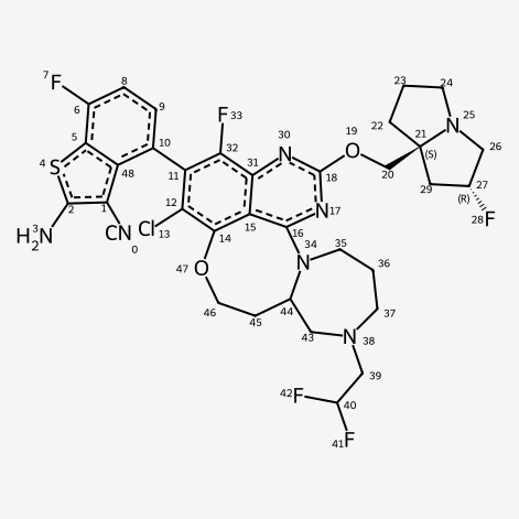 N#Cc1c(N)sc2c(F)ccc(-c3c(Cl)c4c5c(nc(OC[C@@]67CCCN6C[C@H](F)C7)nc5c3F)N3CCCN(CC(F)F)CC3CCO4)c12